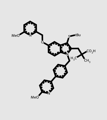 COc1ccc(-c2ccc(Cn3c(CC(C)(C)C(=O)O)c(SC(C)(C)C)c4cc(OCc5cccc(OC)n5)ccc43)cc2)cn1